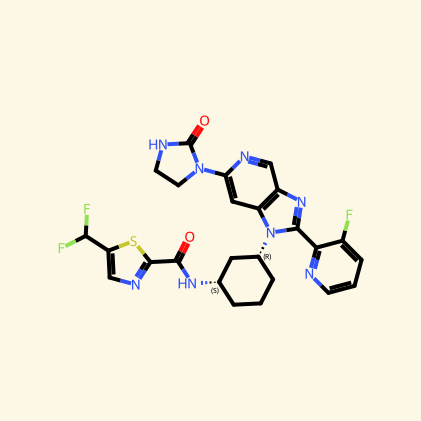 O=C(N[C@H]1CCC[C@@H](n2c(-c3ncccc3F)nc3cnc(N4CCNC4=O)cc32)C1)c1ncc(C(F)F)s1